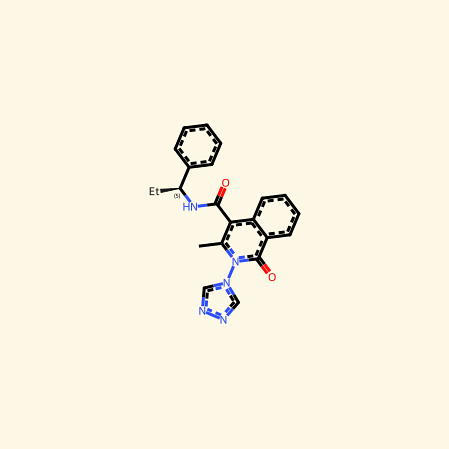 CC[C@H](NC(=O)c1c(C)n(-n2cnnc2)c(=O)c2ccccc12)c1ccccc1